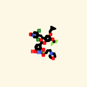 O=C(O[C@@H](Cc1c(Cl)c[n+]([O-])cc1Cl)c1ccc(OC(F)F)c(OCC2CC2)c1)c1ccc(O)c(NS(=O)(=O)CCCN2CCOCC2)c1